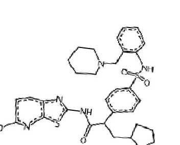 COc1ccc2nc(NC(=O)C(CC3CCCC3)c3ccc(S(=O)(=O)Nc4ccccc4CN4CCCCC4)cc3)sc2n1